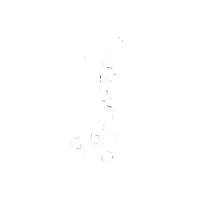 CC(=O)N[C@@H](CCCCN)C(=O)NC[C@@H](NC(=O)[C@@H](N)CCN(C(=O)CO)[C@@H](c1cc(-c2cc(F)ccc2F)cn1Cc1ccccc1)C(C)(C)C)C(=O)O